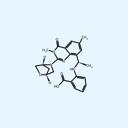 Cc1cc([C@@H](C)Nc2ccccc2C(=O)O)c2nc(N3C[C@H]4C[C@@H]3CO4)n(C)c(=O)c2c1